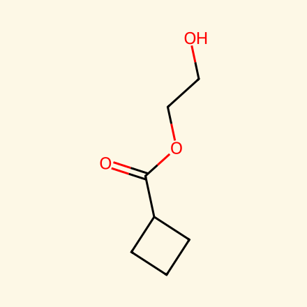 O=C(OCCO)C1CCC1